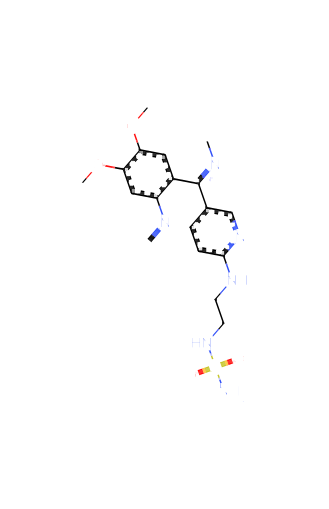 C=Nc1cc(OC)c(OC)cc1/C(=N\C)c1ccc(NCCNS(N)(=O)=O)nc1